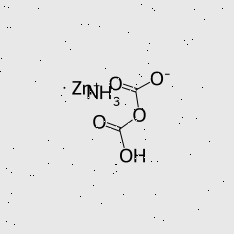 N.O=C([O-])OC(=O)O.[Zn+]